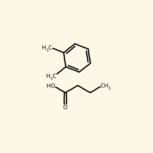 CCCC(=O)O.Cc1ccccc1C